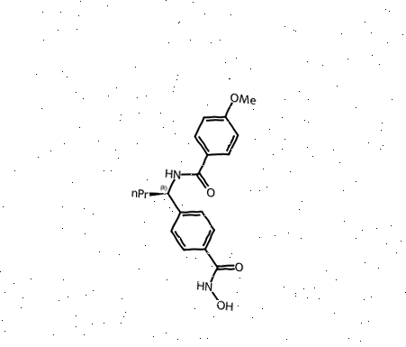 CCC[C@@H](NC(=O)c1ccc(OC)cc1)c1ccc(C(=O)NO)cc1